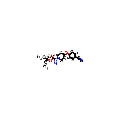 CC(C)(C)OC(=O)NN1CCC(Oc2ccc(C#N)cc2)CC1